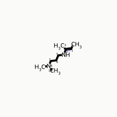 C/C=C(\C)NCCCN(C)C